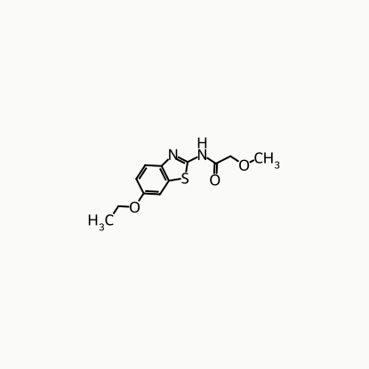 CCOc1ccc2nc(NC(=O)COC)sc2c1